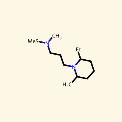 CCC1CCCC(C)N1CCCN(C)SC